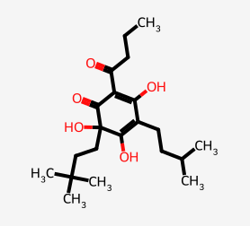 CCCC(=O)C1=C(O)C(CCC(C)C)=C(O)C(O)(CCC(C)(C)C)C1=O